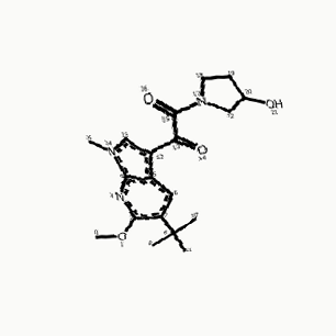 COc1nc2c(cc1C(C)(C)C)c(C(=O)C(=O)N1CCC(O)C1)cn2C